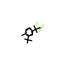 Cc1ccc(C(C)(C)C(F)(F)F)cc1C(C)(C)C